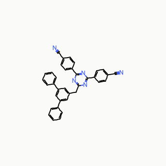 N#Cc1ccc(-c2nc(Cc3cc(-c4ccccc4)cc(-c4ccccc4)c3)nc(-c3ccc(C#N)cc3)n2)cc1